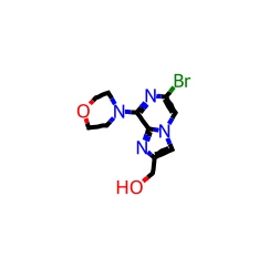 OCc1cn2cc(Br)nc(N3CCOCC3)c2n1